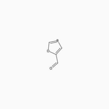 O=Cc1cbco1